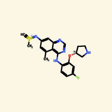 C#S(/C)=N/c1cc(C)c2c(Nc3ccc(F)cc3O[C@@H]3CCNC3)ncnc2c1